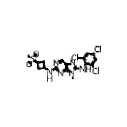 Cn1c(Nc2c(Cl)cc(Cl)cc2Cl)nc2cnc(NC3CC(S(C)(=O)=O)C3)nc21